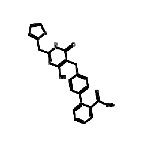 CCCCc1nc(Cc2cccs2)[nH]c(=O)c1Cc1ccc(-c2ccccc2C(=O)OC)cc1